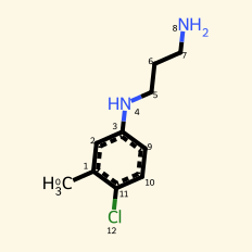 Cc1cc(NCCCN)ccc1Cl